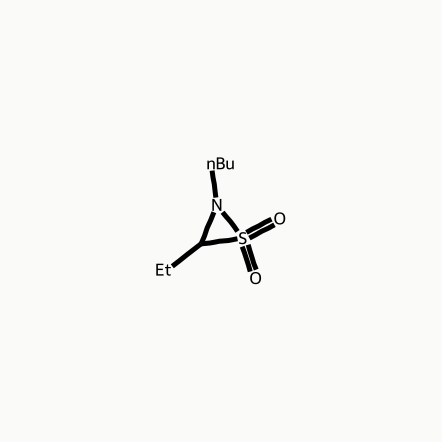 CCCCN1C(CC)S1(=O)=O